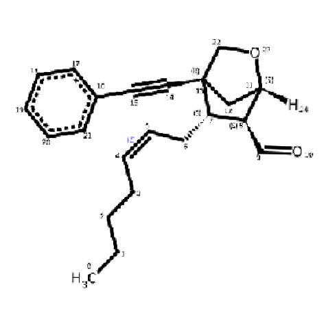 CCCC/C=C\C[C@H]1[C@H](C=O)[C@@H]2C[C@@]1(C#Cc1ccccc1)CO2